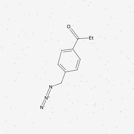 CCC(=O)c1ccc(CN=[N+]=[N-])cc1